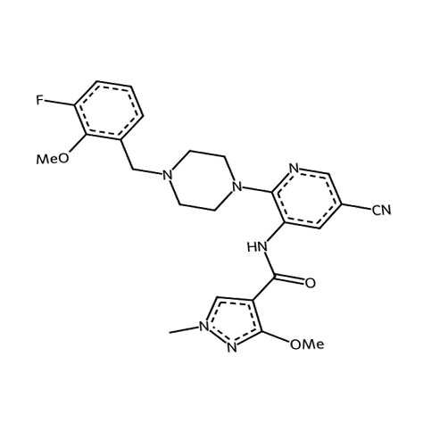 COc1nn(C)cc1C(=O)Nc1cc(C#N)cnc1N1CCN(Cc2cccc(F)c2OC)CC1